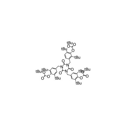 CC(C)(C)OC(=O)Oc1c(C(C)(C)C)cc(Cn2c(=O)n(Cc3cc(C(C)(C)C)c(OC(=O)OC(C)(C)C)c(C(C)(C)C)c3)c(=O)n(Cc3ccc(C(C)(C)C)c(OC(=O)OC(C)(C)C)c3C(C)(C)C)c2=O)cc1C(C)(C)C